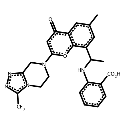 Cc1cc(C(C)Nc2ccccc2C(=O)O)c2oc(N3CCn4c(nnc4C(F)(F)F)C3)cc(=O)c2c1